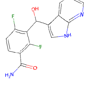 NC(=O)c1ccc(F)c(C(O)c2c[nH]c3ncccc23)c1F